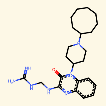 N=C(N)NCNc1nc2ccccc2n(C2CCN(C3CCCCCCC3)CC2)c1=O